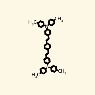 CC1=CC=C(N(c2ccc(C)cc2)c2ccc(/C=C/c3ccc(/C=C/c4ccc(N(c5ccc(C)cc5)c5ccc(C)cc5)cc4)cc3)cc2)CC1